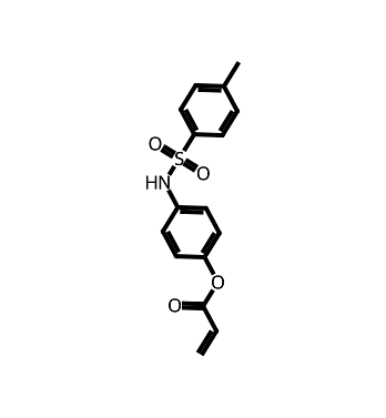 C=CC(=O)Oc1ccc(NS(=O)(=O)c2ccc(C)cc2)cc1